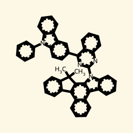 CC1(C)c2ccccc2-c2c1c1c(c3ccccc23)c2ccccc2n1-c1nc(-c2ccc3c(c2)c2ccccc2n3-c2ccccc2)c2ccccc2n1